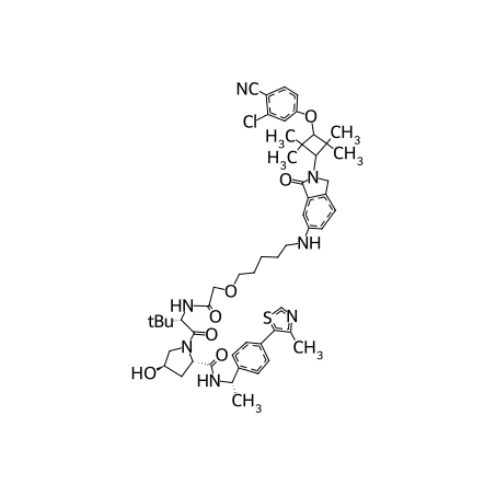 Cc1ncsc1-c1ccc([C@H](C)NC(=O)[C@@H]2C[C@@H](O)CN2C(=O)[C@@H](NC(=O)COCCCCCNc2ccc3c(c2)C(=O)N(C2C(C)(C)C(Oc4ccc(C#N)c(Cl)c4)C2(C)C)C3)C(C)(C)C)cc1